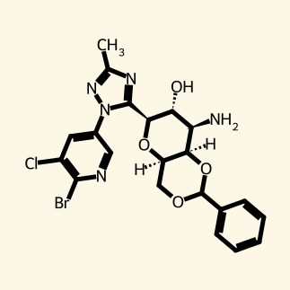 Cc1nc([C@@H]2O[C@@H]3COC(c4ccccc4)O[C@@H]3[C@H](N)[C@H]2O)n(-c2cnc(Br)c(Cl)c2)n1